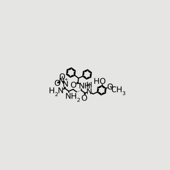 COc1ccc(CNC(=O)[C@H](CCC(N)C(N)=N[N+](=O)[O-])NC(=O)C(c2ccccc2)c2ccccc2)cc1O